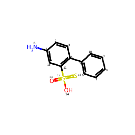 Nc1ccc(-c2ccccc2)c(S(=O)(O)=S)c1